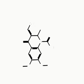 COc1cc2c(cc1OC)N(C(=O)O)C(C)C(=CN)C2=O